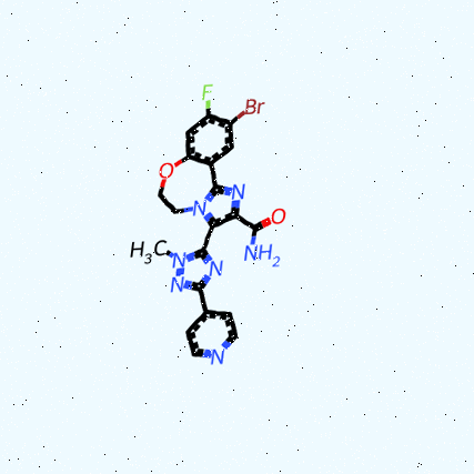 Cn1nc(-c2ccncc2)nc1-c1c(C(N)=O)nc2n1CCOc1cc(F)c(Br)cc1-2